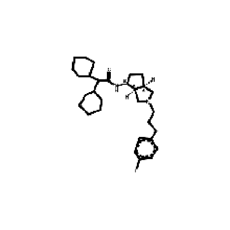 O=C(N[C@H]1CC[C@H]2CN(CCCc3ccc(F)cc3)C[C@H]21)C(C1CCCCC1)C1CCCCC1